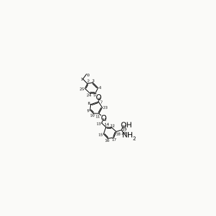 CCc1ccc(Oc2cccc(OCc3cccc(C(N)O)c3)c2)cc1